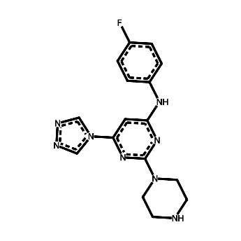 Fc1ccc(Nc2cc(-n3cnnc3)nc(N3CCNCC3)n2)cc1